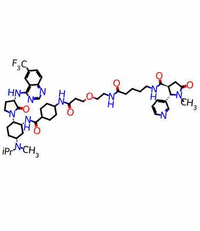 CC(C)N(C)[C@@H]1CC[C@H](N2CC[C@H](Nc3ncnc4ccc(C(F)(F)F)cc34)C2=O)[C@H](NC(=O)C2CCC(NC(=O)CCOCCNC(=O)CCCCNC(=O)[C@H]3CC(=O)N(C)[C@@H]3c3cccnc3)CC2)C1